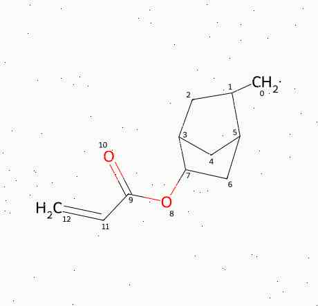 [CH2]C1CC2CC1CC2OC(=O)C=C